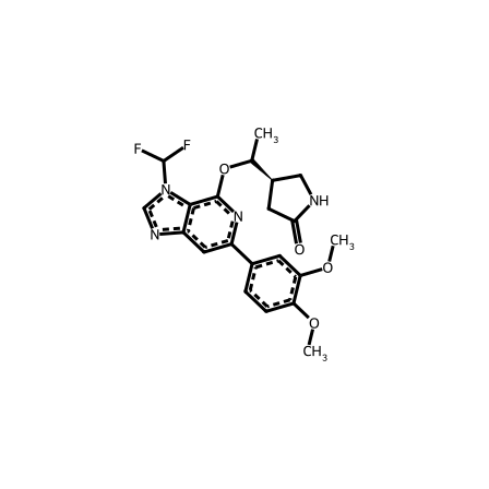 COc1ccc(-c2cc3ncn(C(F)F)c3c(OC(C)[C@H]3CNC(=O)C3)n2)cc1OC